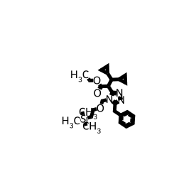 CCOC(=O)C(c1nnc(Cc2ccccc2)n1COCC[Si](C)(C)C)C(C1CC1)C1CC1